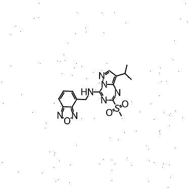 CC(C)c1cnn2c(NCc3cccc4nonc34)nc(S(C)(=O)=O)nc12